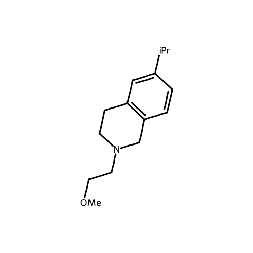 COCCN1CCc2cc(C(C)C)ccc2C1